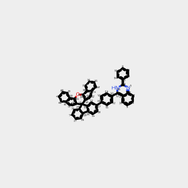 c1ccc(C2N=c3ccccc3=C(c3ccc(-c4ccc5c(c4)C4(c6ccccc6-5)c5ccc6ccccc6c5Oc5c4ccc4ccccc54)cc3)N2)cc1